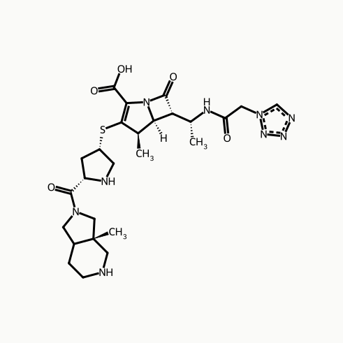 C[C@@H](NC(=O)Cn1cnnn1)[C@H]1C(=O)N2C(C(=O)O)=C(S[C@@H]3CN[C@H](C(=O)N4CC5CCNC[C@@]5(C)C4)C3)[C@H](C)[C@H]12